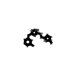 Cc1cccc(Cc2n[nH]c(SCc3ccc(C)s3)n2)c1